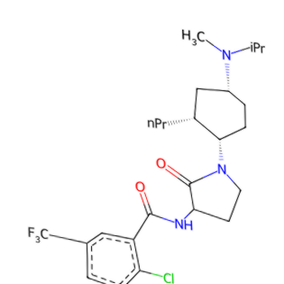 CCC[C@@H]1C[C@H](N(C)C(C)C)CC[C@@H]1N1CCC(NC(=O)c2cc(C(F)(F)F)ccc2Cl)C1=O